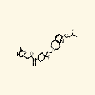 Cc1ncc(CC(=O)NC2CCC(F)(CCN3CCc4ccc(OCC(F)F)nc4CC3)CC2)s1